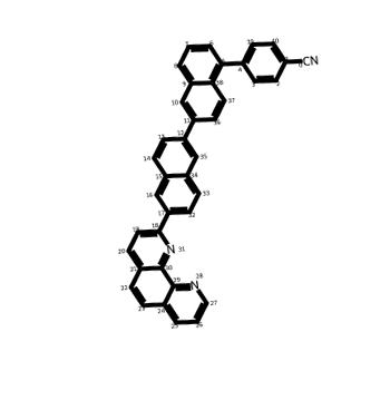 N#Cc1ccc(-c2cccc3cc(-c4ccc5cc(-c6ccc7ccc8cccnc8c7n6)ccc5c4)ccc23)cc1